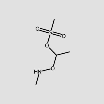 CNOC(C)OS(C)(=O)=O